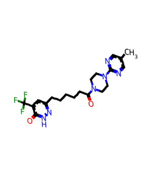 Cc1cnc(N2CCN(C(=O)CCCCCc3cc(C(F)(F)F)c(=O)[nH]n3)CC2)nc1